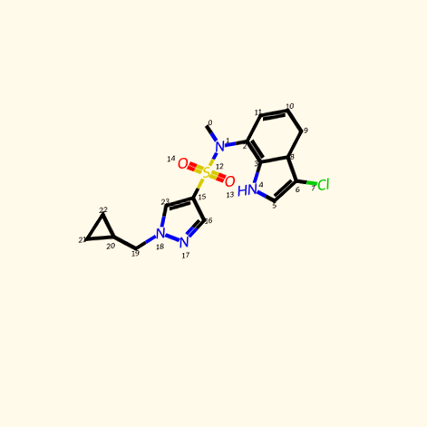 CN(C1=C2NC=C(Cl)C2CC=C1)S(=O)(=O)c1cnn(CC2CC2)c1